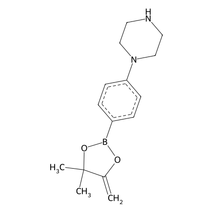 C=C1OB(c2ccc(N3CCNCC3)cc2)OC1(C)C